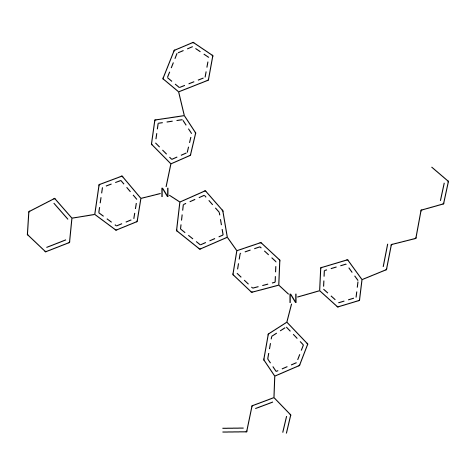 C=C/C=C(\C=C)c1ccc(N(c2ccc(/C=C/CC/C=C\C)cc2)c2ccc(-c3ccc(N(c4ccc(C5=CCCC=C5)cc4)c4ccc(-c5ccccc5)cc4)cc3)cc2)cc1